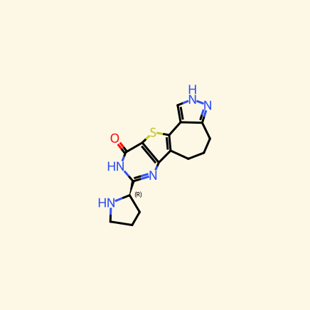 O=c1[nH]c([C@H]2CCCN2)nc2c3c(sc12)-c1c[nH]nc1CCC3